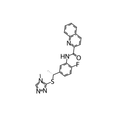 C[C@@H](Sc1nncn1C)c1ccc(F)c(NC(=O)c2ccc3ccccc3n2)c1